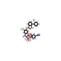 CN(c1cc(Cl)c(O[C@H]2CCc3c(-c4ccccc4F)cccc32)cc1OCc1cncc(C#N)c1)[C@@](C)(CO)C(=O)O